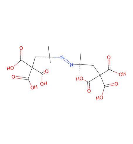 CC(C)(CC(C(=O)O)(C(=O)O)C(=O)O)N=NC(C)(C)CC(C(=O)O)(C(=O)O)C(=O)O